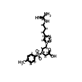 Cc1ccc(S(=O)(=O)N(CCn2cc(CCCNC(=N)N)nn2)CC(=O)O)cc1